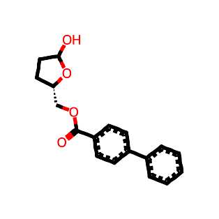 O=C(OC[C@@H]1CCC(O)O1)c1ccc(-c2ccccc2)cc1